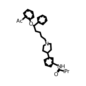 CC(=O)c1ccccc1OC(CCCCN1CCC(c2cccc(NC(=O)C(C)C)c2)CC1)c1ccccc1